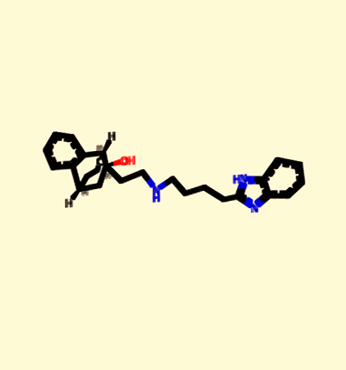 O[C@@]1(CCNCCCCc2nc3ccccc3[nH]2)C[C@H]2CCC[C@@H]1c1ccccc12